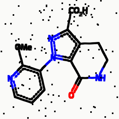 COc1ncccc1-n1nc(C(=O)O)c2c1C(=O)NCC2